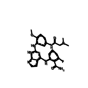 COc1ccc(NC(=O)CN(C)C)cc1Nc1nc(Nc2cccc(F)c2C(N)=O)c2ccnc-2[nH]1